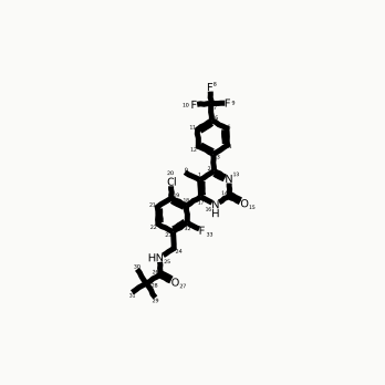 Cc1c(-c2ccc(C(F)(F)F)cc2)nc(=O)[nH]c1-c1c(Cl)ccc(CNC(=O)C(C)(C)C)c1F